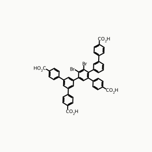 O=C(O)c1ccc(-c2cc(-c3ccc(C(=O)O)cc3)cc(-c3cc(-c4ccc(C(=O)O)cc4)c(-c4cccc(-c5ccc(C(=O)O)cc5)c4)c(Br)c3Br)c2)cc1